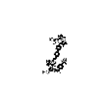 Cc1ncsc1-c1ccc([C@H](C)NC(=O)[C@@H]2C[C@@H](O)CN2C(=O)[C@@H](NC(=O)/C=C/c2ccc(-c3ccc(C4=N[C@@H](CC(=O)O)c5nnc(C)n5-c5sc(C)c(C)c54)cc3)cc2)C(C)(C)C)cc1